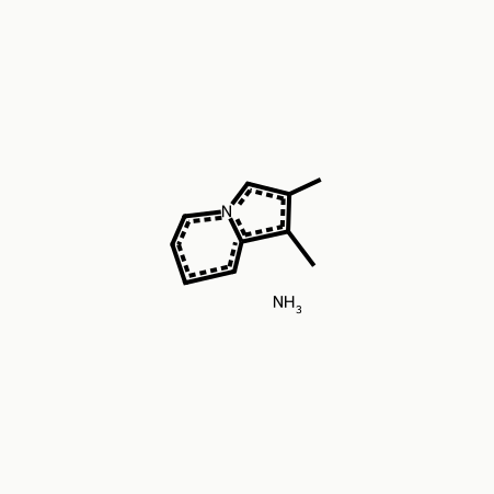 Cc1cn2ccccc2c1C.N